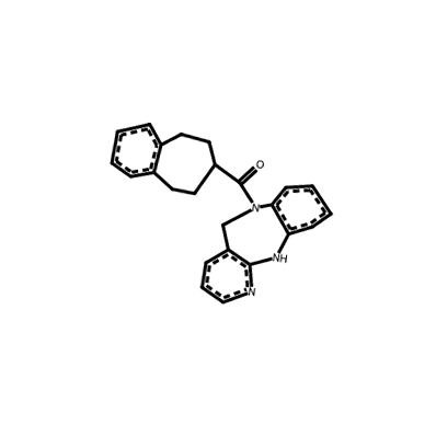 O=C(C1CCc2ccccc2CC1)N1Cc2cccnc2Nc2ccccc21